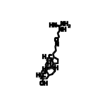 C[C@]12CCC(O)CC1CC[C@@H]1[C@H]2CC[C@]2(C)C(CCC=NOCCNC(=N)N)CC[C@@H]12